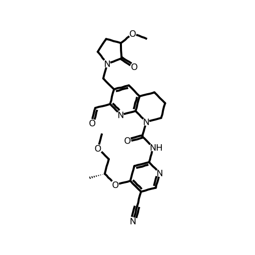 COC[C@@H](C)Oc1cc(NC(=O)N2CCCc3cc(CN4CCC(OC)C4=O)c(C=O)nc32)ncc1C#N